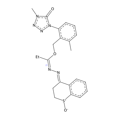 CC/C(=N/N=C1CC[S+]([O-])c2ccccc21)OCc1c(C)cccc1-n1nnn(C)c1=O